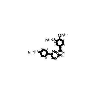 COc1ccc(-c2nnc3n2N=C(c2ccc(NC(C)=O)cc2)CS3)cc1OC